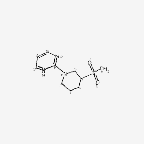 CS(=O)(=O)C1CCCN(c2ncccn2)C1